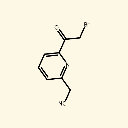 N#CCc1cccc(C(=O)CBr)n1